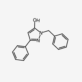 Oc1cc(-c2ccccc2)nn1Cc1ccccc1